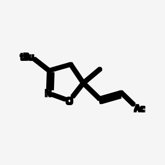 CC(=O)/C=C/C1(C)CC(C(C)(C)C)=NO1